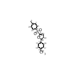 Cc1ccc(S(=O)(=O)C2=NC[C@@H](c3ccc(C(F)(F)F)cc3)O2)cc1